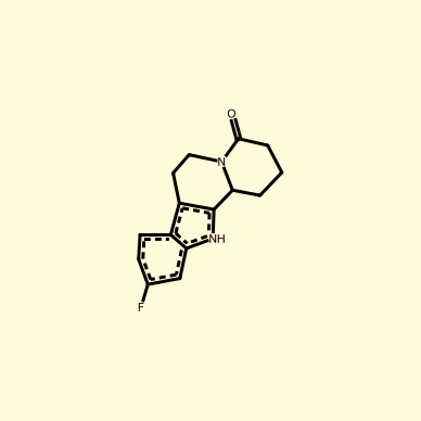 O=C1CCCC2c3[nH]c4cc(F)ccc4c3CCN12